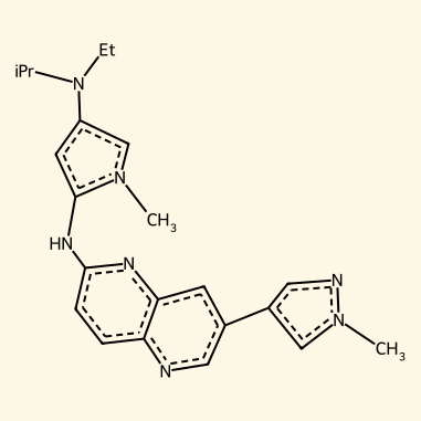 CCN(c1cc(Nc2ccc3ncc(-c4cnn(C)c4)cc3n2)n(C)c1)C(C)C